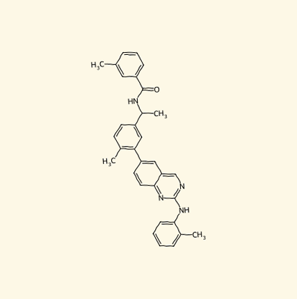 Cc1cccc(C(=O)NC(C)c2ccc(C)c(-c3ccc4nc(Nc5ccccc5C)ncc4c3)c2)c1